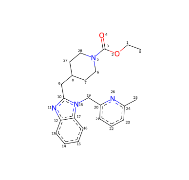 CCOC(=O)N1CCC(Cc2nc3ccccc3n2Cc2cccc(C)n2)CC1